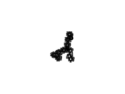 c1cc(-c2ccc3ccccc3c2)cc(N(c2ccc(-c3ccc4c(c3)oc3ccccc34)cc2)c2ccc(-c3ccc4c5ccccc5c5ccccc5c4c3)cc2)c1